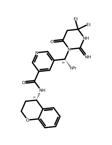 CCC[C@H](c1cncc(C(=O)N[C@H]2CCOc3ccccc32)c1)N1C(=N)NC(CC)(CC)CC1=O